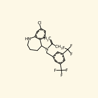 C=C(C)N(Cc1cc(C(F)(F)F)cc(C(F)(F)F)c1)C1CCCNc2cc(Cl)ccc21